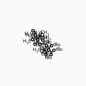 Cc1cc(C)c(N2c3cc4c(cc3B3c5sc6c(c5N(c5ccc(C(C)(C)C)cc5)c5cc(N(c7ccccc7)c7cccc(CC(C)(C)c8ccc9c(c8)B8c%10sc%11c(c%10N(c%10ccc(C(C)(C)C)cc%10)c%10cc(N(c%12ccccc%12)c%12ccc(C(C)(C)C)cc%12)cc(c%108)N9c8ccc(C(C)(C)C)cc8)C(C)(C)CCC%11(C)C)c7)cc2c53)C(C)(C)CCC6(C)C)Oc2ccccc2C4(C)C)c(C)c1